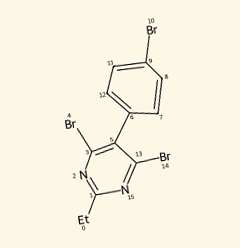 CCc1nc(Br)c(-c2ccc(Br)cc2)c(Br)n1